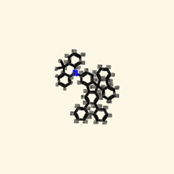 CC1(C)c2ccccc2N(c2ccc3c(c2)-c2cc4c5ccccc5c5ccccc5c4cc2C32c3ccccc3-c3ccccc32)c2ccccc21